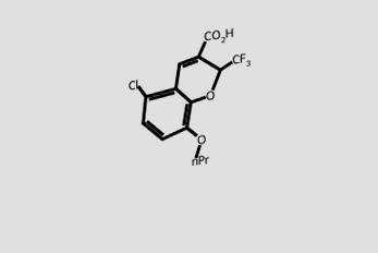 CCCOc1ccc(Cl)c2c1OC(C(F)(F)F)C(C(=O)O)=C2